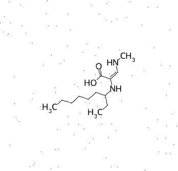 CCCCCCC(CC)N/C(=C/NC)C(=O)O